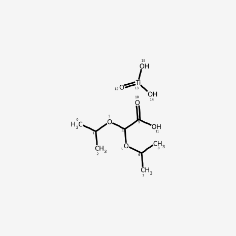 CC(C)OC(OC(C)C)C(=O)O.[O]=[Ti]([OH])[OH]